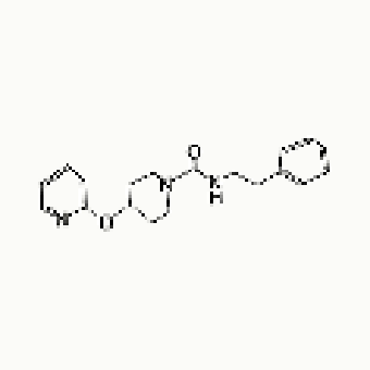 O=C(NCCc1ccccc1)N1CCC(Oc2ccccn2)CC1